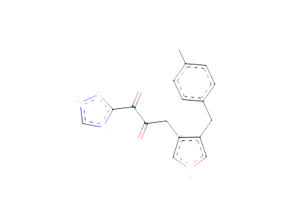 Cc1ccc(Cc2cocc2CC(=O)C(=O)c2nc[nH]n2)cc1